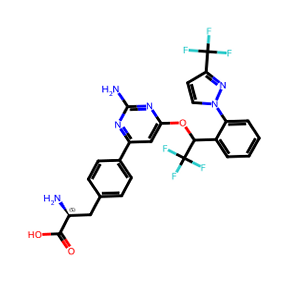 Nc1nc(OC(c2ccccc2-n2ccc(C(F)(F)F)n2)C(F)(F)F)cc(-c2ccc(C[C@H](N)C(=O)O)cc2)n1